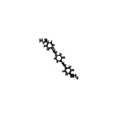 Bc1ccc(C#CC2CCC(C#Cc3ccc(B)cc3)CC2)cc1